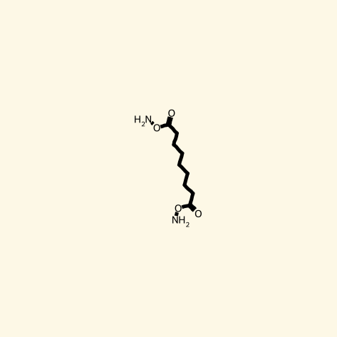 NOC(=O)CCCCCCCC(=O)ON